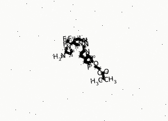 CC(C)C(=O)OCCOc1cc2nc(-c3nnc4ccc([C@@H](N5CC[C@H](N)C5)C(F)(F)F)cn34)ccc2cc1F